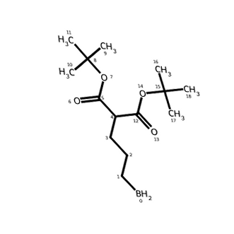 BCCCC(C(=O)OC(C)(C)C)C(=O)OC(C)(C)C